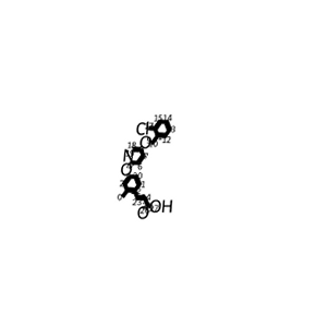 Cc1cc(Oc2ccc(OCc3ccccc3Cl)cn2)ccc1/C=C/C(=O)O